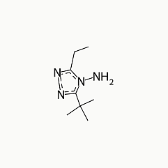 CCc1nnc(C(C)(C)C)n1N